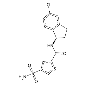 NS(=O)(=O)c1csc(C(=O)N[C@@H]2CCc3cc(Cl)ccc32)c1